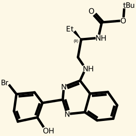 CC[C@H](CNc1nc(-c2cc(Br)ccc2O)nc2ccccc12)NC(=O)OC(C)(C)C